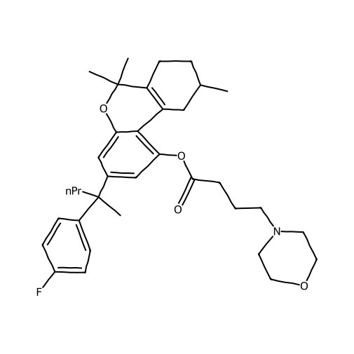 CCCC(C)(c1ccc(F)cc1)c1cc(OC(=O)CCCN2CCOCC2)c2c(c1)OC(C)(C)C1=C2CC(C)CC1